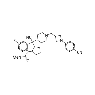 CNC(=O)OC1CCCC1C(C#N)(c1cccc(F)c1)C1CCN(CC2CN(c3ccc(C#N)cc3)C2)CC1